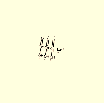 [La+3].[O]=[Co-][OH].[O]=[Co-][OH].[O]=[Co-][OH]